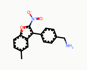 Cc1ccc2oc([N+](=O)[O-])c(-c3ccc(CN)cc3)c2c1